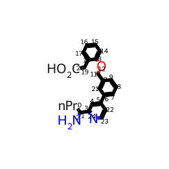 CCCC(N)c1cc(-c2cccc(COc3ccccc3CC(=O)O)c2)ccn1